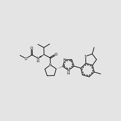 COC(=O)N[C@H](C(=O)N1CCC[C@H]1c1ncc(-c2ccc(C)c3c2SC(C)C3)[nH]1)C(C)C